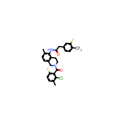 Cc1ccc(F)c(C(=O)N2CCc3c(ccc(C)c3NC(=O)Cc3ccc(C(F)(F)F)c(F)c3)C2)c1Cl